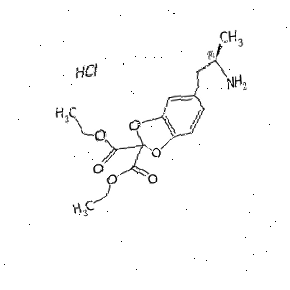 CCOC(=O)C1(C(=O)OCC)Oc2ccc(C[C@@H](C)N)cc2O1.Cl